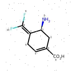 N[C@H]1CC(C(=O)O)=CCC1=C(F)F